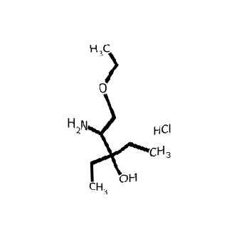 CCOCC(N)C(O)(CC)CC.Cl